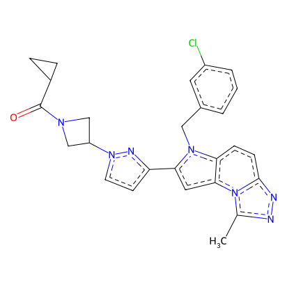 Cc1nnc2ccc3c(cc(-c4ccn(C5CN(C(=O)C6CC6)C5)n4)n3Cc3cccc(Cl)c3)n12